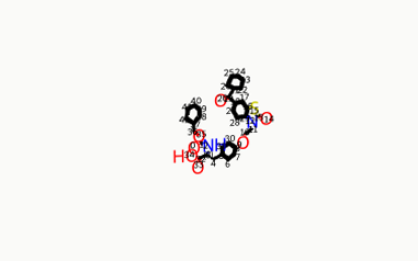 O=C(N[C@@H](Cc1ccc(OCCn2c(=O)sc3cc(C(=O)c4ccccc4)ccc32)cc1)C(=O)O)OCc1ccccc1